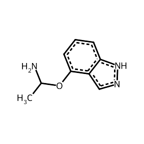 CC(N)Oc1cccc2[nH]ncc12